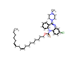 CCCCC/C=C\C/C=C\CCCCCCCCOC(=S)N1c2ccc(Cl)cc2N=C(N2CCN(C)CC2)c2ccccc21